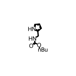 CCCCOC(=O)NCc1ccc[nH]1